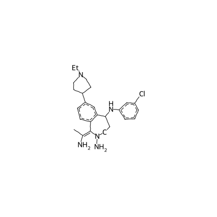 CCN1CCC(c2ccc3c(c2)C(Nc2cccc(Cl)c2)CCN(N)/C3=C(/C)N)CC1